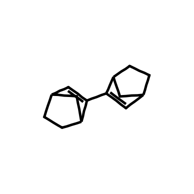 C1=C(C2=CC3CCC2C3)C2CCC1C2